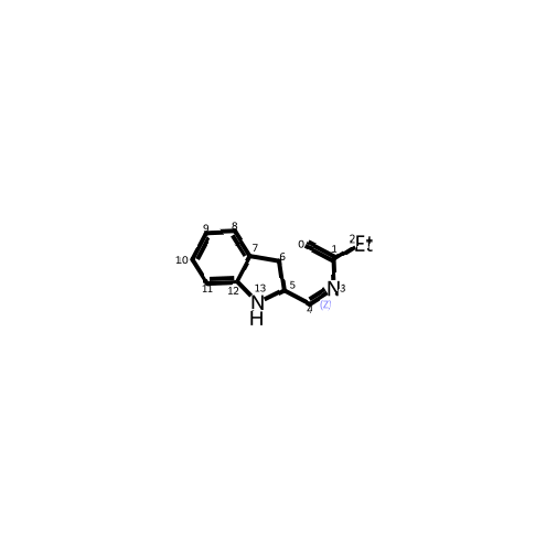 C=C(CC)/N=C\C1Cc2ccccc2N1